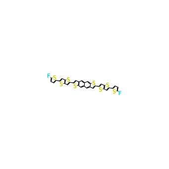 Fc1ccc(-c2cc3sc(-c4cc5cc6cc7sc(-c8cc9sc(-c%10ccc(F)s%10)cc9s8)cc7cc6cc5s4)cc3s2)s1